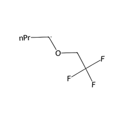 CCC[CH]OCC(F)(F)F